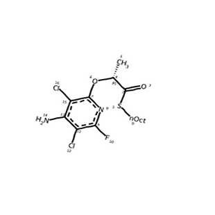 CCCCCCCCSC(=O)[C@@H](C)Oc1nc(F)c(Cl)c(N)c1Cl